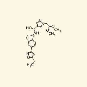 CCc1nc(-c2ccc3c(c2)CC[C@H]3NC(O)c2cnn(CC(OC)OC)c2)no1